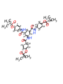 CC(C)C(=O)Oc1ccc(NC(=O)c2cc(NC(=O)c3ccc(OC(=O)C(C)C)cc3)cc(C(=O)Nc3ccc(OC(=O)C(C)C)cc3)c2)cc1